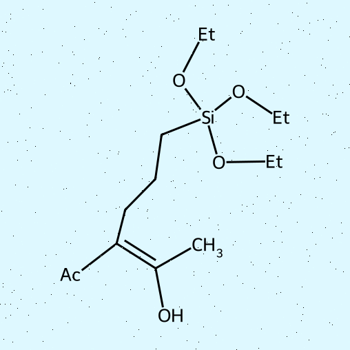 CCO[Si](CCC/C(C(C)=O)=C(\C)O)(OCC)OCC